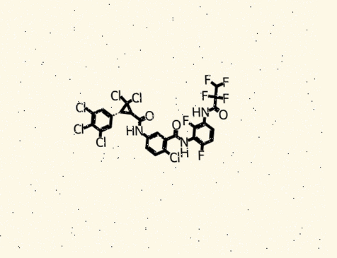 O=C(Nc1c(F)ccc(NC(=O)C(F)(F)C(F)F)c1F)c1cc(NC(=O)C2[C@H](c3cc(Cl)c(Cl)c(Cl)c3)C2(Cl)Cl)ccc1Cl